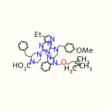 CCc1cnn2c(N(Cc3ccc(OC)cc3)Cc3nc4ccccc4n3COCC[Si](C)(C)C)nc(N3CCN(C(=O)O)C(Cc4ccccc4)C3)nc12